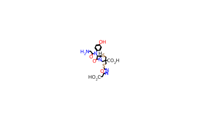 NCC(=O)N(c1ccc(O)cc1)C1C(=O)N2CC(CSc3nnc(CC(=O)O)o3)(C(=O)O)CS[C@H]12